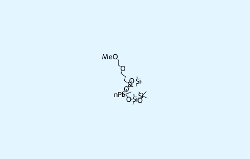 CCC[Si](C)(O[Si](C)(C)O[Si](C)(C)C)O[Si](C)(CCCOCCOC)O[Si](C)(C)C